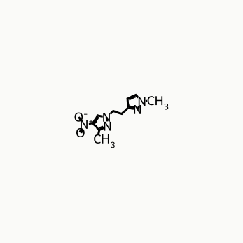 Cc1nn(CCc2ccn(C)n2)cc1[N+](=O)[O-]